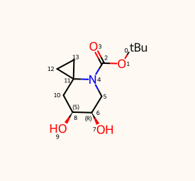 CC(C)(C)OC(=O)N1C[C@@H](O)[C@@H](O)CC12CC2